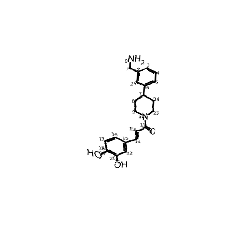 NCc1cccc(C2CCN(C(=O)C=Cc3ccc(O)c(O)c3)CC2)c1